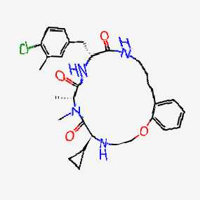 Cc1cc(C[C@H]2NC(=O)[C@@H](C)N(C)C(=O)[C@H](C3CC3)NCCOc3ccccc3CCCNC2=O)ccc1Cl